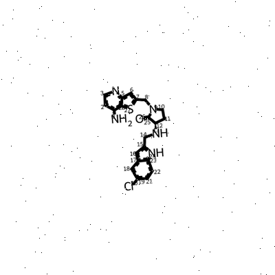 Nc1ccnc2cc(CN3CC[C@@H](NCc4cc5cc(Cl)ccc5[nH]4)C3=O)sc12